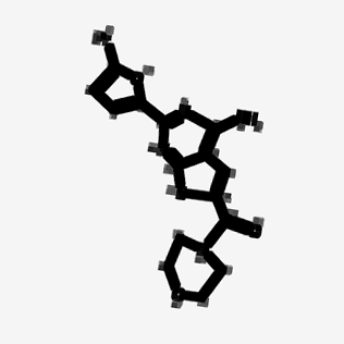 CC(C)c1ccc(-c2nc(N)c3cc(C(=O)N4CCOCC4)sc3n2)o1